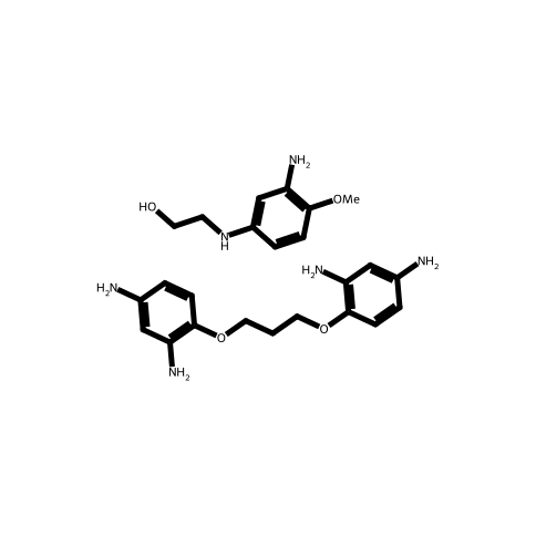 COc1ccc(NCCO)cc1N.Nc1ccc(OCCCOc2ccc(N)cc2N)c(N)c1